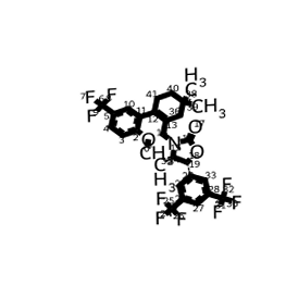 COc1ccc(C(F)(F)F)cc1C1=C(CN2C(=O)O[C@H](c3cc(C(F)(F)F)cc(C(F)(F)F)c3)[C@@H]2C)CC(C)(C)CC1